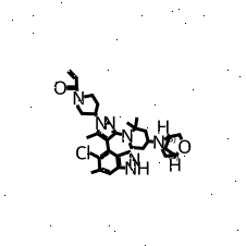 C=CC(=O)N1CCC(n2nc(N3CCC(N4C[C@@H]5C[C@H]4CO5)CC3(C)C)c(-c3c(Cl)c(C)cc4[nH]ncc34)c2C)CC1